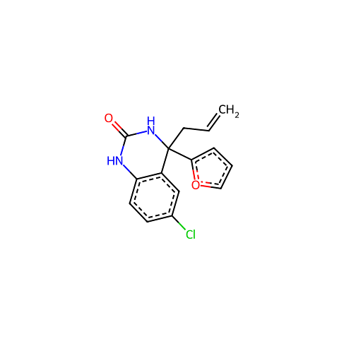 C=CCC1(c2ccco2)NC(=O)Nc2ccc(Cl)cc21